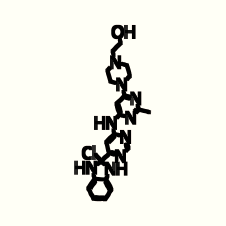 Cc1nc(Nc2cc(C3(Cl)Nc4ccccc4N3)ncn2)cc(N2CCN(CCO)CC2)n1